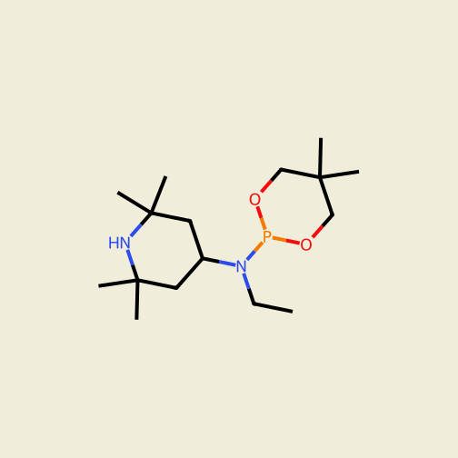 CCN(C1CC(C)(C)NC(C)(C)C1)P1OCC(C)(C)CO1